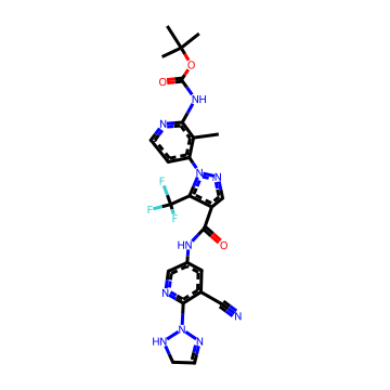 Cc1c(-n2ncc(C(=O)Nc3cnc(N4N=CCN4)c(C#N)c3)c2C(F)(F)F)ccnc1NC(=O)OC(C)(C)C